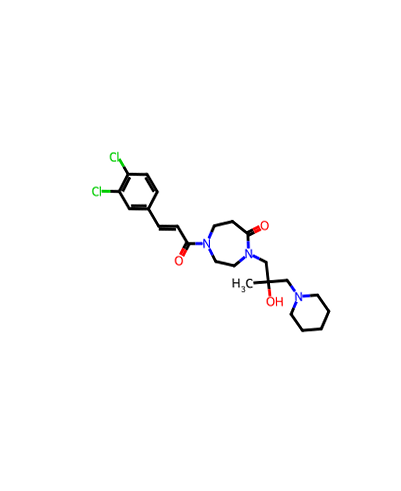 CC(O)(CN1CCCCC1)CN1CCN(C(=O)/C=C/c2ccc(Cl)c(Cl)c2)CCC1=O